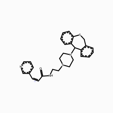 O=C(/C=C\c1cccnc1)NCCN1CCN(C2c3ccccc3CSc3ccccc32)CC1